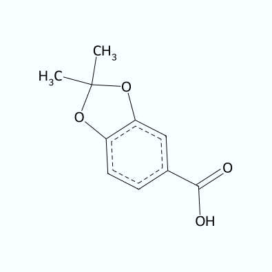 CC1(C)Oc2ccc(C(=O)O)cc2O1